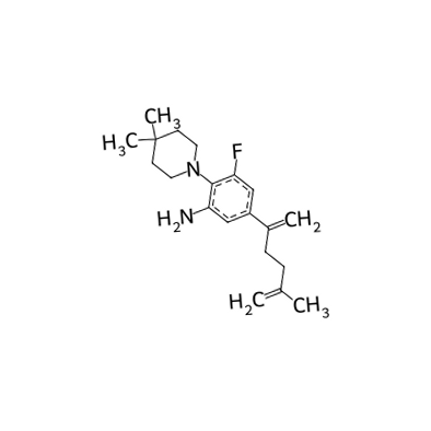 C=C(C)CCC(=C)c1cc(N)c(N2CCC(C)(C)CC2)c(F)c1